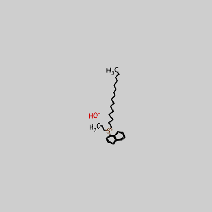 CCCCCCCCCCCCCCCC[S+](CCC)c1cccc2ccccc12.[OH-]